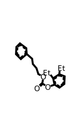 CCc1cccc(OC(=O)OCCCCc2ccccc2)c1CC